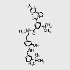 Cc1csc([C@H]2CCCN2C(=O)c2cc(C(=O)N[C@@H](C)CCc3ccc(NCc4cccc(C(C)(C)C)c4)c(O)c3)cc(N(C)C)c2)n1